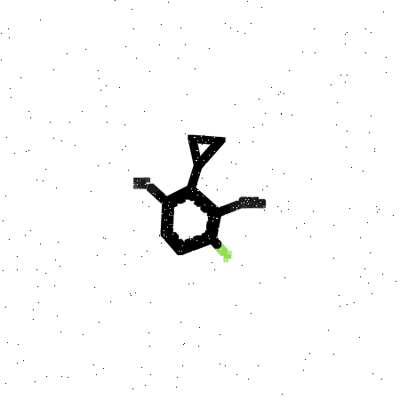 COc1c(F)ccc(C#N)c1C1CC1